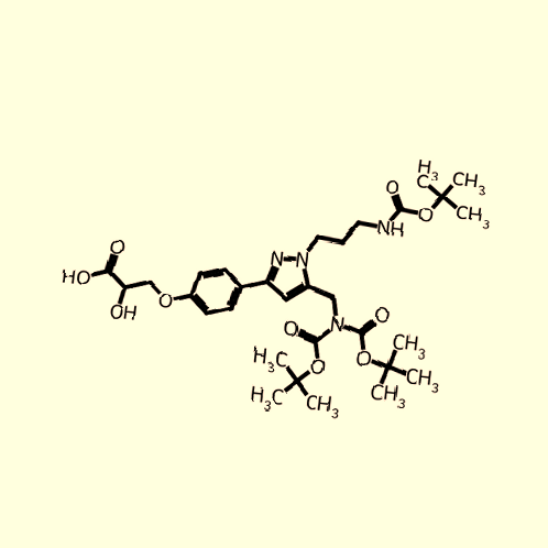 CC(C)(C)OC(=O)NCCCn1nc(-c2ccc(OCC(O)C(=O)O)cc2)cc1CN(C(=O)OC(C)(C)C)C(=O)OC(C)(C)C